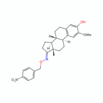 COc1cc2c(cc1O)CC[C@@H]1[C@@H]2CC[C@]2(C)C(=NOCc3ccc([N+](=O)[O-])cc3)CC[C@@H]12